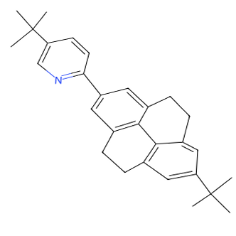 CC(C)(C)c1ccc(-c2cc3c4c(c2)CCc2cc(C(C)(C)C)cc(c2-4)CC3)nc1